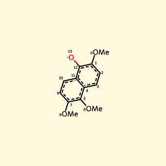 COc1ccc2c(OC)c(OC)ccc2c1[O]